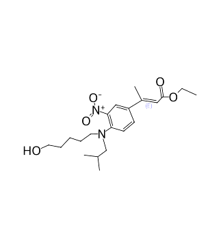 CCOC(=O)/C=C(\C)c1ccc(N(CCCCCO)CC(C)C)c([N+](=O)[O-])c1